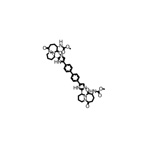 COC(=O)N[C@H]1CCC(=O)N2CCC[C@@H](c3ncc(-c4ccc(-c5ccc(-c6cnc([C@@H]7CCCN8C(=O)CC[C@H](NC(=O)OC)C(=O)N78)[nH]6)cc5)cc4)[nH]3)N2C1=O